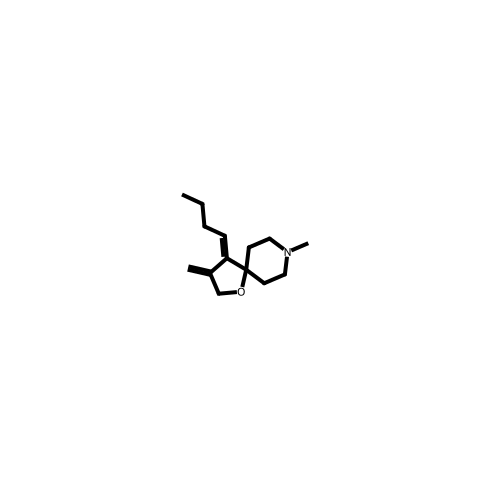 C=C1COC2(CCN(C)CC2)/C1=C/CCC